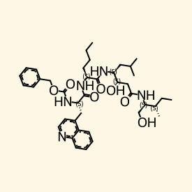 CCCC[C@H](NC(=O)[C@H](Cc1ccnc2ccccc12)NC(=O)OCc1ccccc1)C(=O)N[C@@H](CC(C)C)[C@@H](O)CC(=O)N[C@H](CO)[C@@H](C)CC